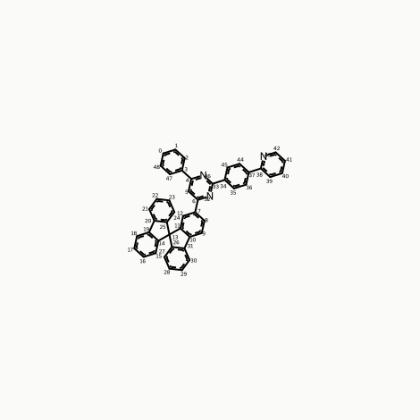 c1ccc(-c2cc(-c3ccc4c(c3)C3(c5ccccc5-c5ccccc53)c3ccccc3-4)nc(-c3ccc(-c4ccccn4)cc3)n2)cc1